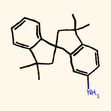 CC1(C)CC2(CC(C)(C)c3ccc(N)cc32)c2ccccc21